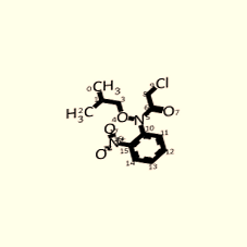 CC(C)CON(C(=O)CCl)c1ccccc1[N+](=O)[O-]